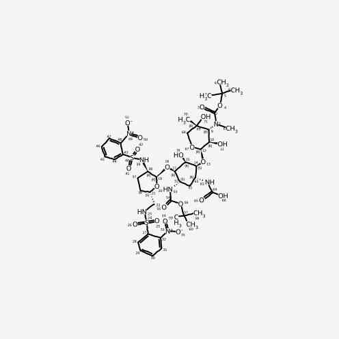 CN(C(=O)OC(C)(C)C)[C@@H]1[C@@H](O)[C@@H](O[C@@H]2[C@H](O)[C@H](O[C@H]3O[C@H](CNS(=O)(=O)c4ccccc4[N+](=O)[O-])CC[C@H]3NS(=O)(=O)c3ccccc3[N+](=O)[O-])[C@@H](NC(=O)OC(C)(C)C)C[C@H]2NC(=O)O)OC[C@]1(C)O